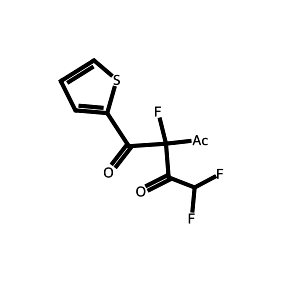 CC(=O)C(F)(C(=O)c1cccs1)C(=O)C(F)F